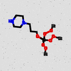 CCOO[Si](OCCCN1CCNCC1)(OOCC)OOCC